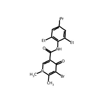 CCc1cc(C(C)C)cc(CC)c1NC(=O)c1cn(C)c(C)c(Br)c1=O